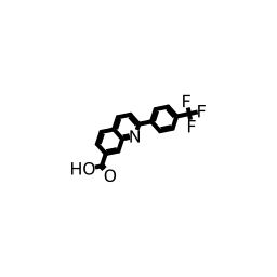 O=C(O)c1ccc2ccc(-c3ccc(C(F)(F)F)cc3)nc2c1